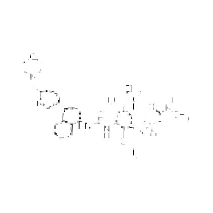 COc1c(NC(=O)Nc2ccc(-c3ccc(CN4CCOCC4)nc3)c3ccccc23)cc(C(C)(C)C)cc1NS(=O)(=O)CC(=O)N(C)C